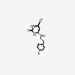 O=c1cc(NCCc2ccc(Br)cc2)[nH]c(=O)[nH]1